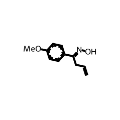 C=CCC(=NO)c1ccc(OC)cc1